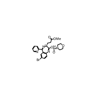 COC(=O)CC[C@@H]1N=C(c2ccccn2)c2cc(Br)ccc2N=C1O[PH](=O)N1CCOCC1